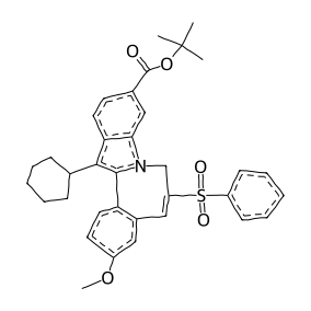 COc1ccc2c(c1)C=C(S(=O)(=O)c1ccccc1)Cn1c-2c(C2CCCCC2)c2ccc(C(=O)OC(C)(C)C)cc21